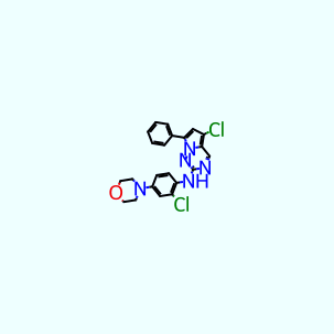 Clc1cc(N2CCOCC2)ccc1Nc1ncc2c(Cl)cc(-c3ccccc3)n2n1